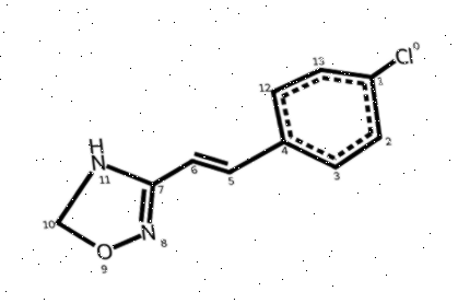 Clc1ccc(C=CC2=NOCN2)cc1